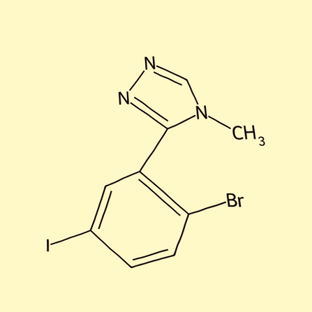 Cn1cnnc1-c1cc(I)ccc1Br